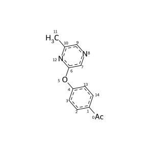 CC(=O)c1ccc(Oc2cncc(C)n2)cc1